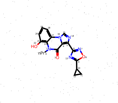 CCCn1c(=O)c2c(-c3noc(C4CC4)n3)ncn2c2cccc(O)c21